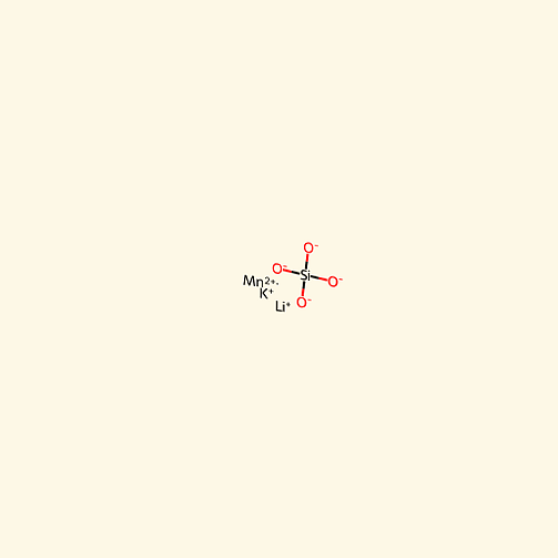 [K+].[Li+].[Mn+2].[O-][Si]([O-])([O-])[O-]